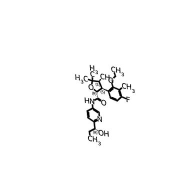 CCOc1c([C@H]2[C@H](C(=O)Nc3ccc([C@H](O)CC)nc3)OC(C)(C)[C@H]2C)ccc(F)c1C